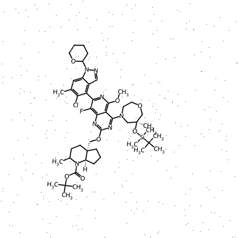 COc1nc(-c2c(Cl)c(C)cc3c2cnn3C2CCCCO2)c(F)c2nc(OC[C@]34CCC[C@H]3N(C(=O)OC(C)(C)C)C(C)CC4)nc(N3CCOC[C@@](C)(O[Si](C)(C)C(C)(C)C)C3)c12